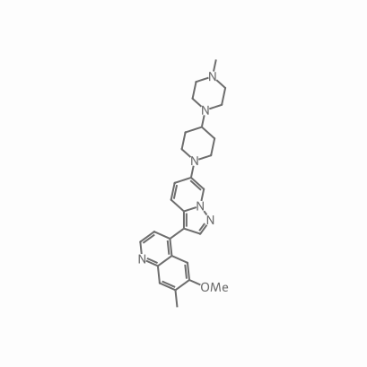 COc1cc2c(-c3cnn4cc(N5CCC(N6CCN(C)CC6)CC5)ccc34)ccnc2cc1C